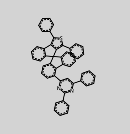 c1ccc(-c2cc(-c3cccc4c3-c3ccccc3C43c4ccccc4-c4c(-c5ccccc5)sc(-c5ccccc5)c43)nc(-c3ccccc3)n2)cc1